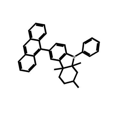 CC1CCC2(C)c3cc(-c4c5ccccc5cc5ccccc45)ccc3N(c3ccccc3)C2(C)C1